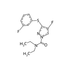 CCN(CC)C(=O)n1cc(F)c(Sc2cccc(F)c2)n1